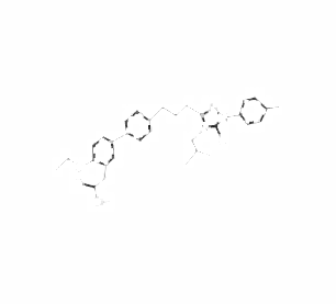 CCOc1ccc(-c2ccc(CCCc3nn(-c4ccc(C)cc4)c(=O)n3CC(C)C)cc2)cc1CC(=O)O